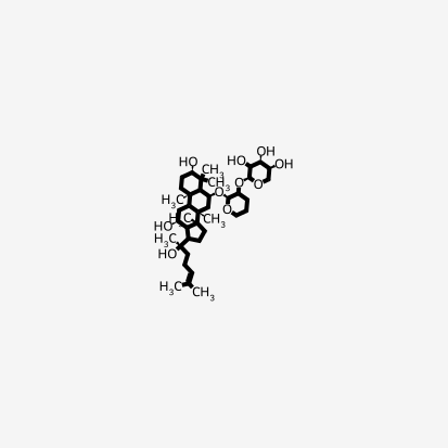 CC(C)=CCC[C@](C)(O)C1CC[C@]2(C)C1[C@H](O)CC1[C@@]3(C)CC[C@H](O)C(C)(C)C3[C@@H](O[C@@H]3OCCCC3O[C@@H]3OC[C@H](O)[C@@H](O)C3O)C[C@]12C